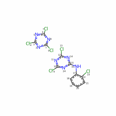 Clc1nc(Cl)nc(Cl)n1.Clc1nc(Cl)nc(Nc2ccccc2Cl)n1